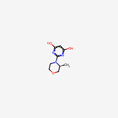 C[C@H]1COCCN1c1nc(O)cc(O)n1